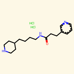 Cl.Cl.O=C(CCc1cccnc1)NCCCCC1CCNCC1